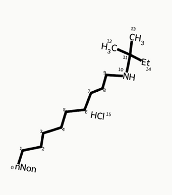 CCCCCCCCCCCCCCCCCCNC(C)(C)CC.Cl